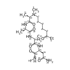 CCC(=O)CCCCCN(C)[C@H](C)C(=O)N[C@H](C)C(=O)N[C@H](C)C(=O)N[C@@H](CC(N)=O)C(=O)NI